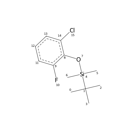 CC(C)(C)[Si](C)(C)Oc1c(F)cccc1Cl